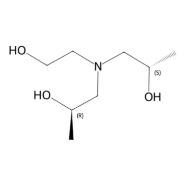 C[C@H](O)CN(CCO)C[C@@H](C)O